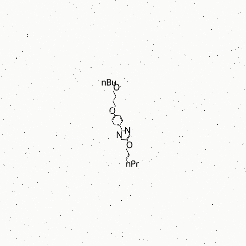 CCC/C=C/COc1cnc(-c2ccc(OCCCCOCCCC)cc2)nc1